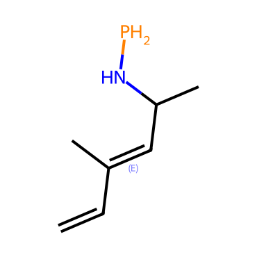 C=C/C(C)=C/C(C)NP